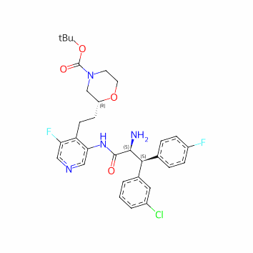 CC(C)(C)OC(=O)N1CCO[C@H](CCc2c(F)cncc2NC(=O)[C@@H](N)[C@@H](c2ccc(F)cc2)c2cccc(Cl)c2)C1